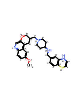 COc1ccc2ncc3c(c2c1)CC(CN1CCC(NCc2ccc4c(c2)NC=CS4)CC1)CO3